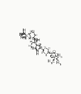 CC(C)(C)OC(=O)N1CC=C(c2cc3c(Nc4cccc(-c5nnn[nH]5)c4)ccnc3[nH]2)CC1